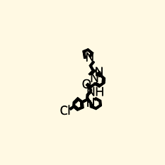 O=C(NCC(c1ccc(Cl)cc1)N1CCCCC1)c1cccc2nc(CCN3CCCC3)cn12